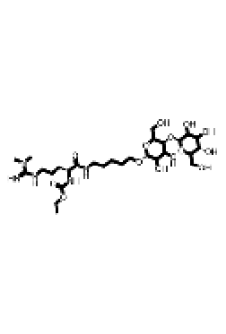 CCOC(=O)N[C@@H](CCCNC(=N)N(C)C)C(=O)NCCCCCO[C@@H]1OC(CO)[C@@H](O[C@@H]2OC(CO)[C@@H](O)C(O)C2O)C(O)C1O